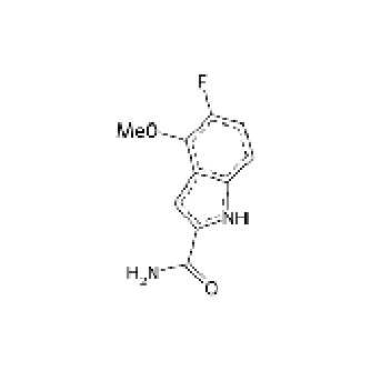 COc1c(F)ccc2[nH]c(C(N)=O)cc12